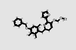 CCOCOC1=CCC(Cc2c(C)cc(OCc3ccccc3)c(C)c2C)N=C1c1ccco1